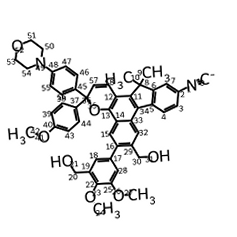 [C-]#[N+]c1ccc2c(c1)C(C)(C)c1c3c(c4cc(-c5cc(CO)c(OC)c(OC)c5)c(CO)cc4c1-2)OC(c1ccc(OC)cc1)(c1ccc(N2CCOCC2)cc1)C=C3